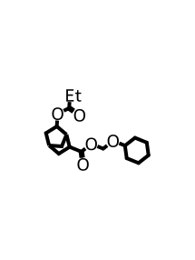 CCC(=O)OC1CC2CC(C(=O)OCOC3CCCCC3)C1C2